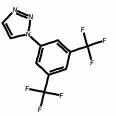 FC(F)(F)c1cc(-n2ccnn2)cc(C(F)(F)F)c1